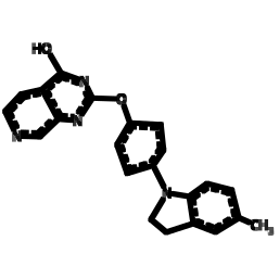 Cc1ccc2c(c1)CCN2c1ccc(Oc2nc(O)c3ccncc3n2)cc1